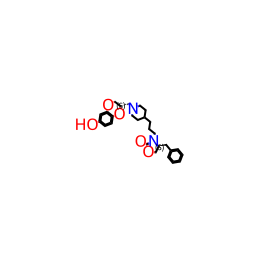 O=C1OC[C@H](Cc2ccccc2)N1CCCC1CCN(C[C@H]2COc3cc(O)ccc3O2)CC1